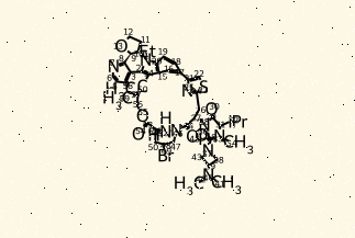 CCn1c(-c2cccnc2[C@@H]2CCCO2)c2c3cc(ccc31)-c1csc(n1)C[C@H](NC(=O)C(C(C)C)N(C)C(=O)N1CC(N(C)C)C1)C(=O)N1CC(Br)C[C@H](N1)C(=O)OCC(C)(C)C2